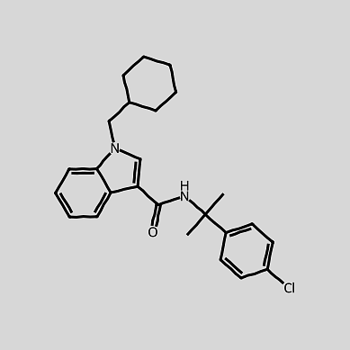 CC(C)(NC(=O)c1cn(CC2CCCCC2)c2ccccc12)c1ccc(Cl)cc1